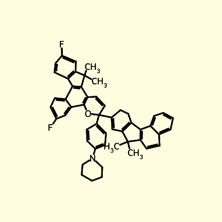 CC1(C)C2=C(CCC(C3(c4ccc(N5CCCCC5)cc4)C=Cc4c5c(c6ccc(F)cc6c4O3)-c3ccc(F)cc3C5(C)C)=C2)c2c1ccc1ccccc21